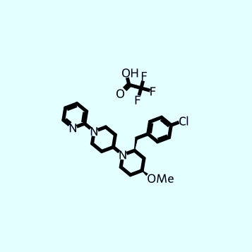 CO[C@H]1CCN(C2CCN(c3ccccn3)CC2)[C@@H](Cc2ccc(Cl)cc2)C1.O=C(O)C(F)(F)F